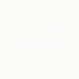 CC1(C)C[C@@H]2CCCOc3cccc(c3)S(=O)(=O)NC(=O)c3ccc(-n4ccc(OCCC5(C(F)(F)F)CC5)n4)nc3N1C2